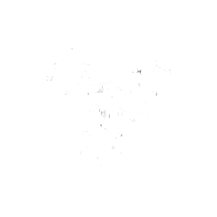 Cl.Cl.c1ccc([SiH2][O][Al]([c]2ccccc2)[c]2ccccc2)cc1